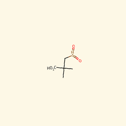 CC(C)(C[SH](=O)=O)C(=O)O